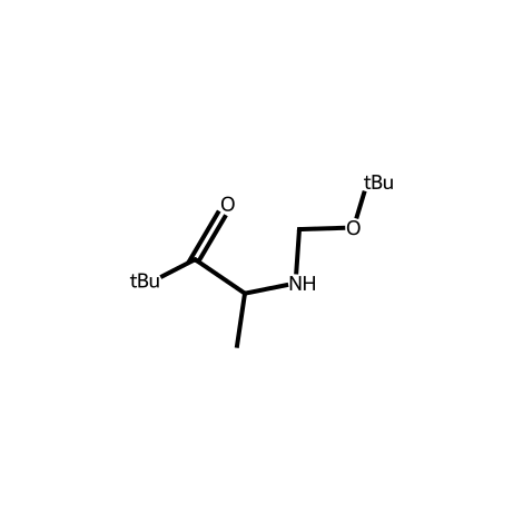 CC(NCOC(C)(C)C)C(=O)C(C)(C)C